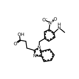 CNc1ccc(Cn2c(CCC(=O)O)nc3ccccc32)cc1[N+](=O)[O-]